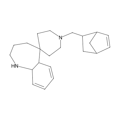 C1=CC2NCCCC3(CCN(CC4CC5C=CC4C5)CC3)C2C=C1